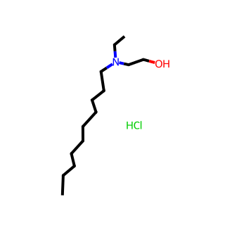 CCCCCCCCCCN(CC)CCO.Cl